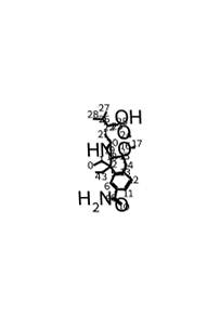 CCC1(CC)c2cc(C(N)=O)ccc2C[C@@H](OC)[C@H]1NCC[C@@H](C(=O)O)C(C)C